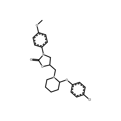 COc1ccc(N2CC(CN3CCCCC3Oc3ccc(Cl)cc3)OC2=O)cc1